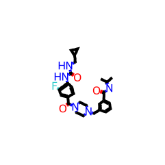 CC(C)=NC(=O)c1cccc(CN2CCN(C(=O)c3ccc(NC(=O)NCC4CC4)c(F)c3)CC2)c1